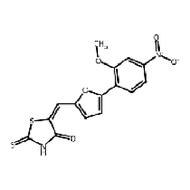 COc1cc([N+](=O)[O-])ccc1-c1ccc(/C=C2/SC(=S)NC2=O)o1